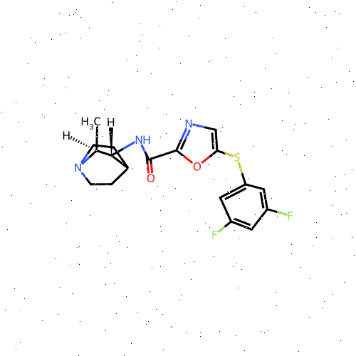 C[C@H]1[C@H](NC(=O)c2ncc(Sc3cc(F)cc(F)c3)o2)C2CCN1CC2